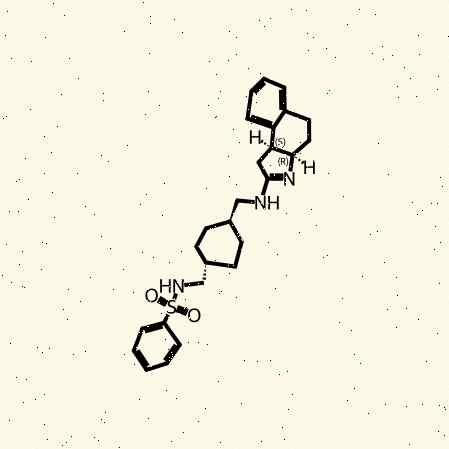 O=S(=O)(NC[C@H]1CC[C@H](CNC2=N[C@@H]3CCc4ccccc4[C@@H]3C2)CC1)c1ccccc1